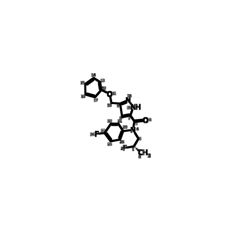 C[C@H](F)CN(C(=O)c1cc(COc2ccccc2)n[nH]1)c1ccc(F)cc1